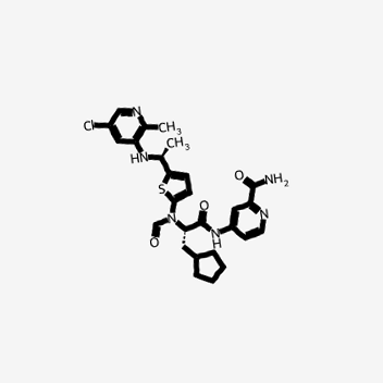 Cc1ncc(Cl)cc1N[C@@H](C)c1ccc(N(C=O)[C@@H](CC2CCCC2)C(=O)Nc2ccnc(C(N)=O)c2)s1